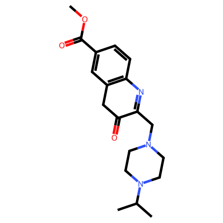 COC(=O)c1ccc2c(c1)CC(=O)C(CN1CCN(C(C)C)CC1)=N2